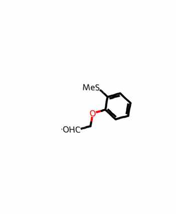 CSc1ccccc1OC[C]=O